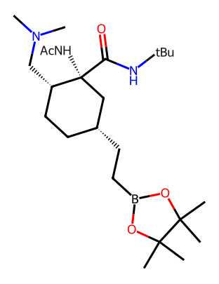 CC(=O)N[C@]1(C(=O)NC(C)(C)C)C[C@H](CCB2OC(C)(C)C(C)(C)O2)CC[C@@H]1CN(C)C